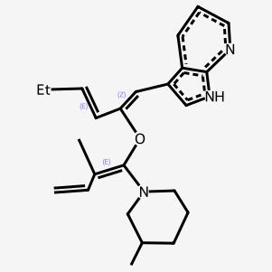 C=C/C(C)=C(/OC(=C\c1c[nH]c2ncccc12)/C=C/CC)N1CCCC(C)C1